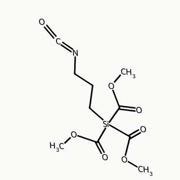 COC(=O)[Si](CCCN=C=O)(C(=O)OC)C(=O)OC